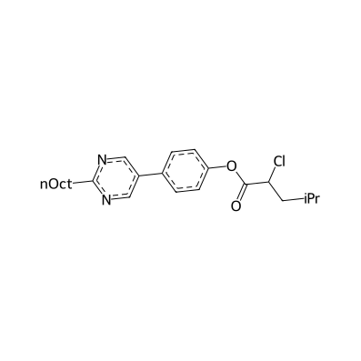 CCCCCCCCc1ncc(-c2ccc(OC(=O)C(Cl)CC(C)C)cc2)cn1